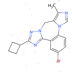 Cc1ncn2c1Cn1nc(C3CCC3)nc1-c1cc(Br)ccc1-2